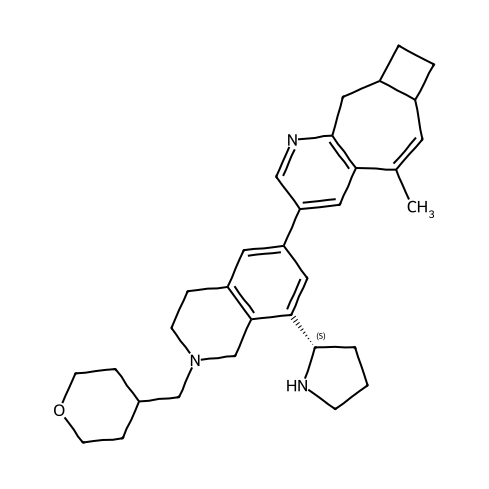 CC1=CC2CCC2Cc2ncc(-c3cc4c(c([C@@H]5CCCN5)c3)CN(CC3CCOCC3)CC4)cc21